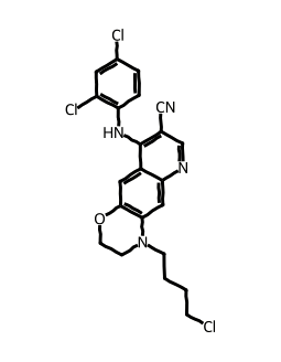 N#Cc1cnc2cc3c(cc2c1Nc1ccc(Cl)cc1Cl)OCCN3CCCCCl